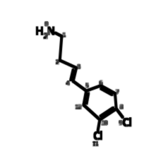 NCCC=Cc1ccc(Cl)c(Cl)c1